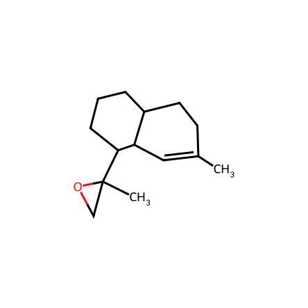 CC1=CC2C(CCCC2C2(C)CO2)CC1